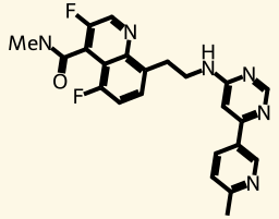 CNC(=O)c1c(F)cnc2c(CCNc3cc(-c4ccc(C)nc4)ncn3)ccc(F)c12